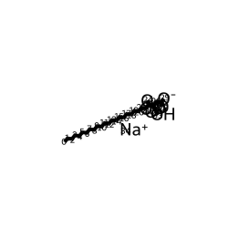 CCCCCCCCCCCCCCCCCCCCCCOC(=O)C(CC(=O)[O-])S(=O)(=O)O.[Na+]